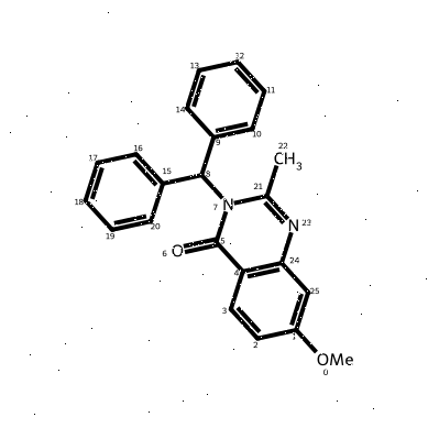 COc1ccc2c(=O)n(C(c3ccccc3)c3ccccc3)c(C)nc2c1